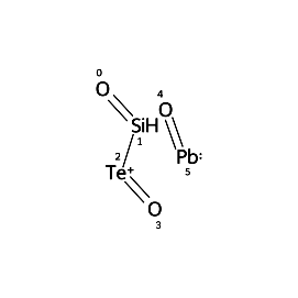 O=[SiH][Te+]=O.[O]=[Pb]